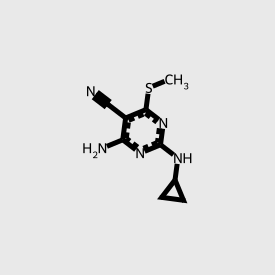 CSc1nc(NC2CC2)nc(N)c1C#N